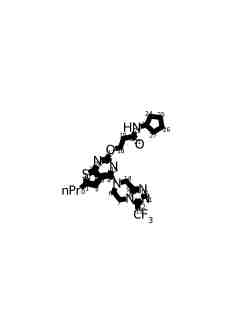 CCCc1cc2c(N3CCn4c(nnc4C(F)(F)F)C3)nc(OCCC(=O)NC3CCCC3)nc2s1